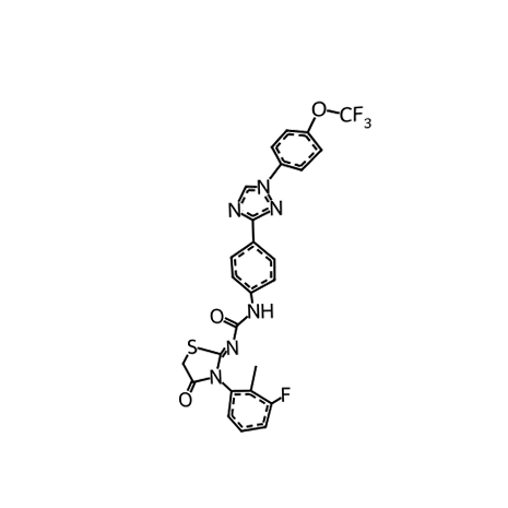 Cc1c(F)cccc1N1C(=O)CS/C1=N\C(=O)Nc1ccc(-c2ncn(-c3ccc(OC(F)(F)F)cc3)n2)cc1